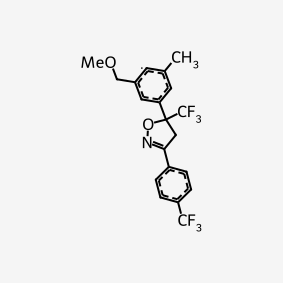 COCc1[c]c(C)cc(C2(C(F)(F)F)CC(c3ccc(C(F)(F)F)cc3)=NO2)c1